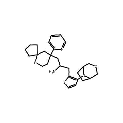 NC(Cc1sccc1N1C2CCC1COC2)CC1(c2ccccn2)CCOC2(CCCC2)C1